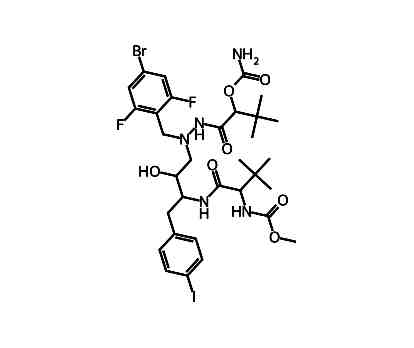 COC(=O)NC(C(=O)NC(Cc1ccc(I)cc1)C(O)CN(Cc1c(F)cc(Br)cc1F)NC(=O)C(OC(N)=O)C(C)(C)C)C(C)(C)C